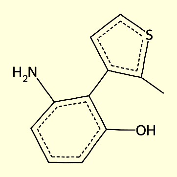 Cc1sccc1-c1c(N)cccc1O